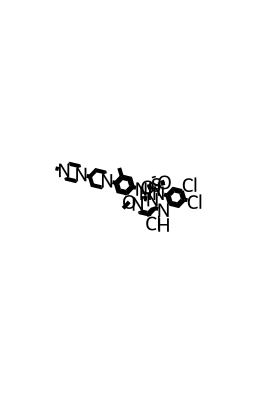 COc1cc(N2CCC(N3CCN(C)CC3)CC2)c(C)cc1Nc1ncc(Cl)c(Nc2cc(Cl)c(Cl)cc2NS(C)(=O)=O)n1